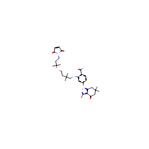 Cc1nn(-c2ccc(C(N)=O)c(NCC(C)(C)CCOC(C)(C)CCN3C(=O)C=CC3=O)c2)c2c1C(=O)CC(C)(C)C2